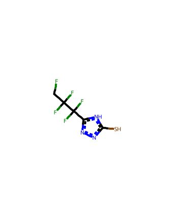 FCC(F)(F)C(F)(F)c1nnc(S)[nH]1